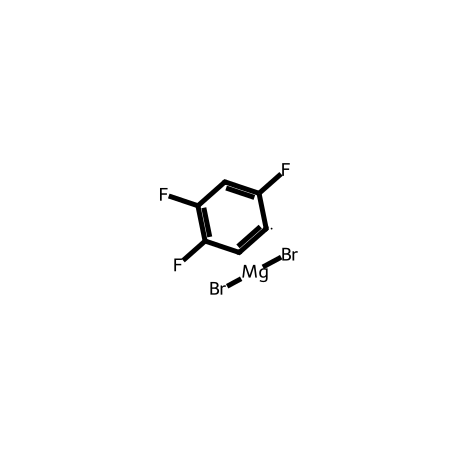 Fc1[c]cc(F)c(F)c1.[Br][Mg][Br]